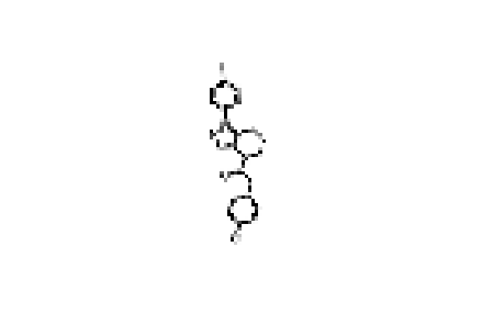 O=C(Cc1ccc(Cl)cc1)N1CCCc2c1cnn2-c1ccc(F)cc1